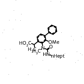 CCCCCCCNC(=O)N(C)c1c(C(C)C(=O)O)ccc(-c2ccccc2)c1OC